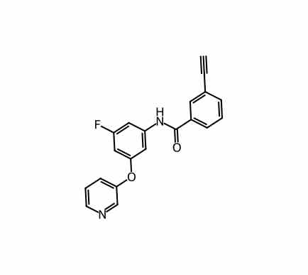 C#Cc1cccc(C(=O)Nc2cc(F)cc(Oc3cccnc3)c2)c1